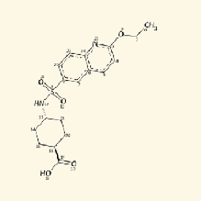 CCOc1ccc2cc(S(=O)(=O)N[C@H]3CC[C@H](C(=O)O)CC3)ccc2n1